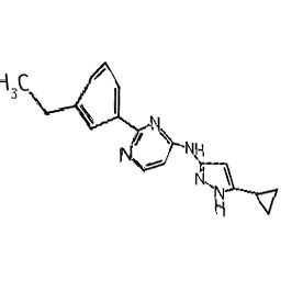 CCc1cccc(-c2nccc(Nc3cc(C4CC4)[nH]n3)n2)c1